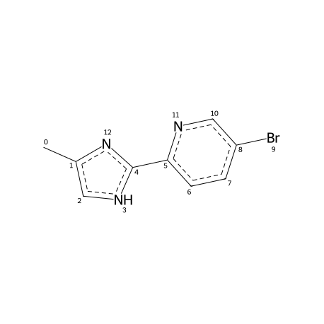 Cc1c[nH]c(-c2ccc(Br)cn2)n1